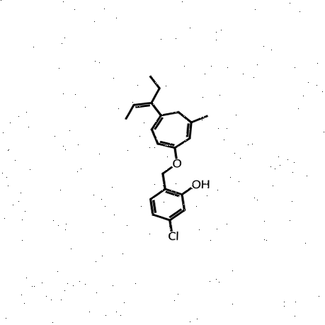 C/C=C(/CC)C1=CC=C(OCc2ccc(Cl)cc2O)C=C(C)C1